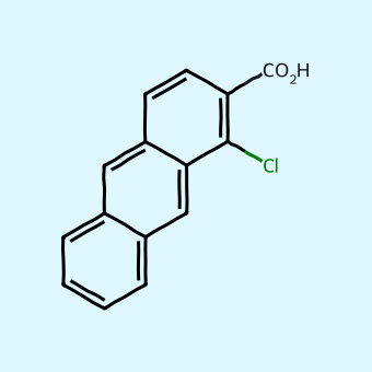 O=C(O)c1ccc2cc3ccccc3cc2c1Cl